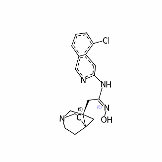 O/N=C(\C[C@]12CN3CCC1(CC3)C2)Nc1cc2c(Cl)cccc2cn1